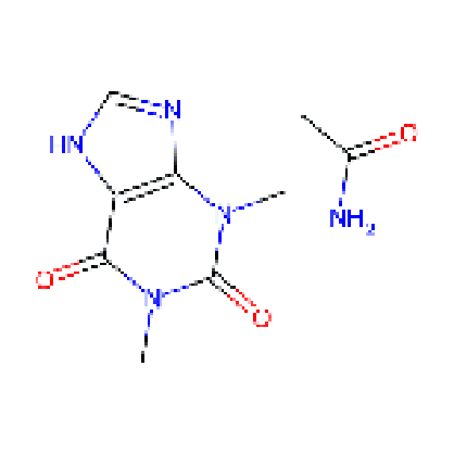 CC(N)=O.Cn1c(=O)c2[nH]cnc2n(C)c1=O